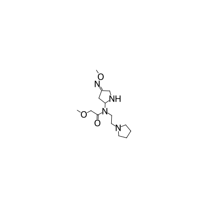 COCC(=O)N(CCN1CCCC1)C1CC(=NOC)CN1